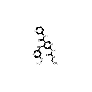 CCNC(=O)Nc1cc(Nc2cncc(OC)c2)c(C(=O)Nc2cccnc2)cn1